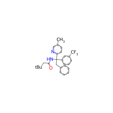 Cc1ccc(C(Cc2ccccc2)(NC(=O)CC(C)(C)C)c2cccc(C(F)(F)F)c2)nc1